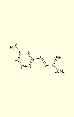 CC(=N)/C=C/c1cccc(C)c1